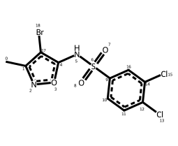 Cc1noc(NS(=O)(=O)c2ccc(Cl)c(Cl)c2)c1Br